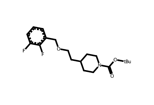 CC(C)(C)OC(=O)N1CCC(CCOCc2cccc(F)c2F)CC1